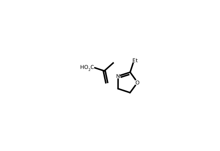 C=C(C)C(=O)O.CCC1=NCCO1